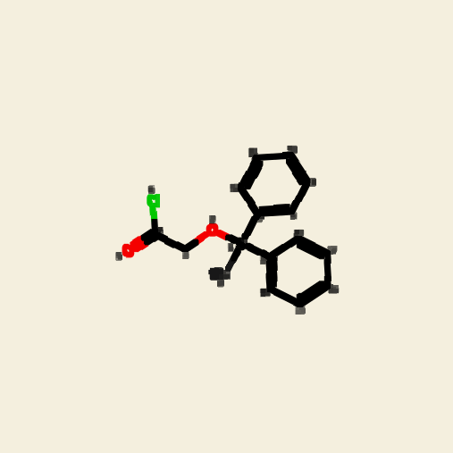 CC(C)(C)[Si](OCC(=O)Cl)(c1ccccc1)c1ccccc1